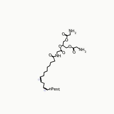 CCCCC/C=C\C/C=C\CCCCCCCC(=O)NCC(=O)OC(COC(=O)CN)COC(=O)CN